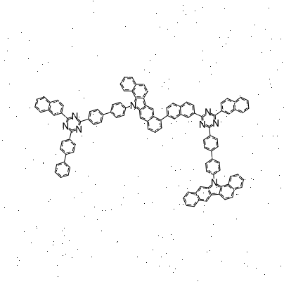 c1ccc(-c2ccc(-c3nc(-c4ccc(-c5ccc(-n6c7cc8cccc(-c9ccc%10ccc(-c%11nc(-c%12ccc(-c%13ccc(-n%14c%15cc%16ccccc%16cc%15c%15ccc%16ccccc%16c%15%14)cc%13)cc%12)nc(-c%12ccc%13ccccc%13c%12)n%11)cc%10c9)c8cc7c7ccc8ccccc8c76)cc5)cc4)nc(-c4ccc5ccccc5c4)n3)cc2)cc1